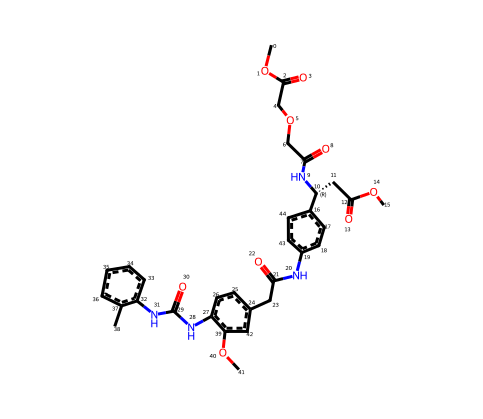 COC(=O)COCC(=O)N[C@H](CC(=O)OC)c1ccc(NC(=O)Cc2ccc(NC(=O)Nc3ccccc3C)c(OC)c2)cc1